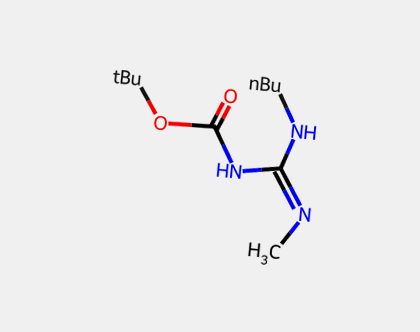 CCCCN/C(=N/C)NC(=O)OC(C)(C)C